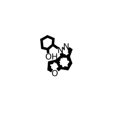 OC1CCCCC1n1ncc2ccc3occc3c21